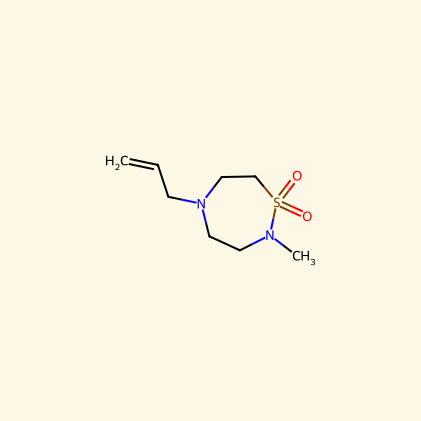 C=CCN1CCN(C)S(=O)(=O)CC1